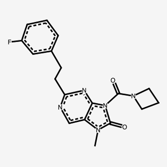 Cn1c(=O)n(C(=O)N2CCC2)c2nc(CCc3cccc(F)c3)ncc21